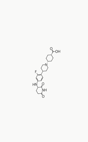 O=C1CCC(Nc2ccc(C3CCN([C@H]4CC[C@H](C(=O)O)CC4)CC3)c(F)c2)C(=O)N1